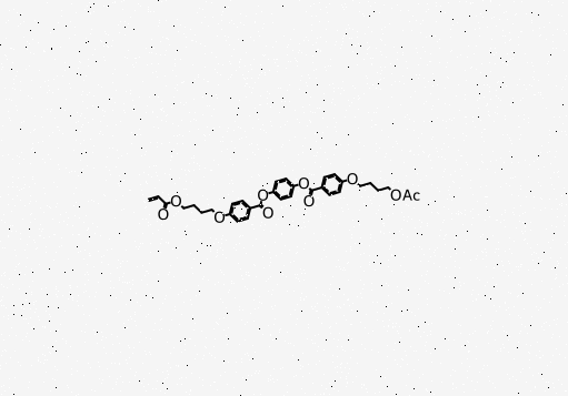 C=CC(=O)OCCCCOc1ccc(C(=O)Oc2ccc(OC(=O)c3ccc(OCCCCOC(C)=O)cc3)cc2)cc1